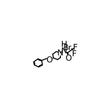 O=C(NN1CCC(OCc2ccccc2)CC1)C(F)(F)Br